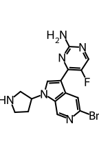 Nc1ncc(F)c(-c2cn(C3CCNC3)c3cnc(Br)cc23)n1